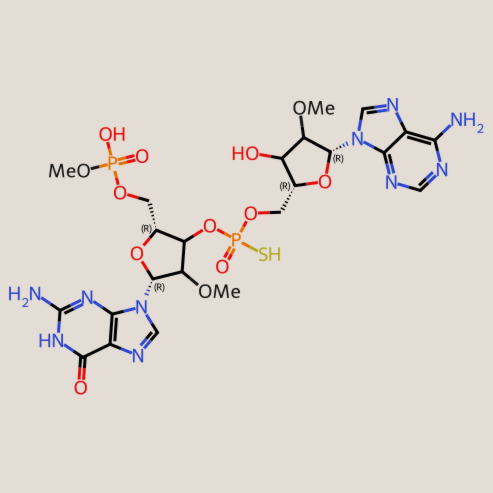 COC1C(O)[C@@H](COP(=O)(S)OC2C(OC)[C@H](n3cnc4c(=O)[nH]c(N)nc43)O[C@@H]2COP(=O)(O)OC)O[C@H]1n1cnc2c(N)ncnc21